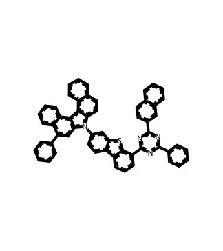 c1ccc(-c2nc(-c3ccc4ccccc4c3)nc(-c3cccc4c3sc3cc(-n5c6ccc7ccccc7c6c6c7ccccc7c(-c7ccccc7)cc65)ccc34)n2)cc1